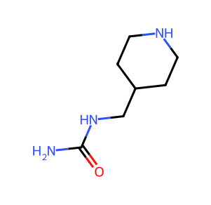 NC(=O)NCC1CCNCC1